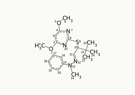 COc1cc(OC)nc(SC(C=NN(C)c2ccccc2)C(C)(C)C)n1